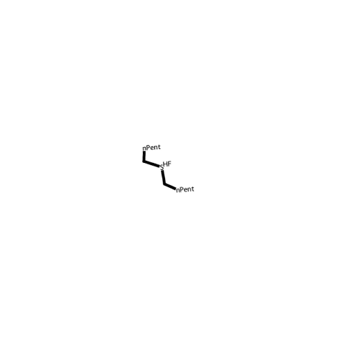 CCCCCCSCCCCCC.F